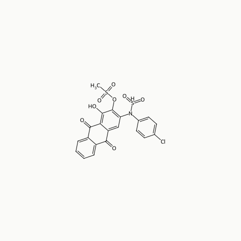 CS(=O)(=O)Oc1c(N(c2ccc(Cl)cc2)[SH](=O)=O)cc2c(c1O)C(=O)c1ccccc1C2=O